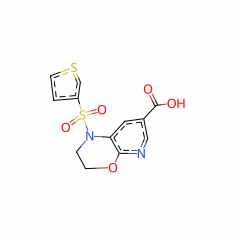 O=C(O)c1cnc2c(c1)N(S(=O)(=O)c1ccsc1)CCO2